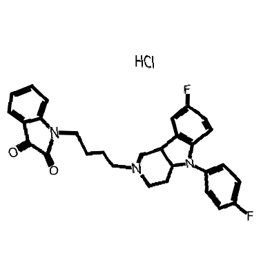 Cl.O=C1C(=O)N(CCCCN2CCC3C(C2)c2cc(F)ccc2N3c2ccc(F)cc2)c2ccccc21